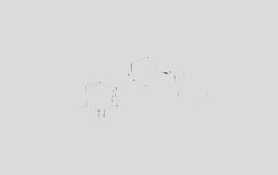 O=C(O)N[C@@H]1CCN(c2ccc(F)nn2)C1